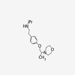 CC(C)NCCc1ccc(OCC(C)N2CCOCC2)cc1